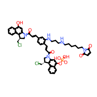 O=C1C=CC(=O)N1CCCCCCNCCCNc1cc(/C=C/C(=O)N2C[C@@H](CCl)c3c2cc(O)c2ccccc32)ccc1/C=C/C(=O)N1C[C@@H](CCl)c2c1cc(OP(=O)(O)O)c1ccccc21